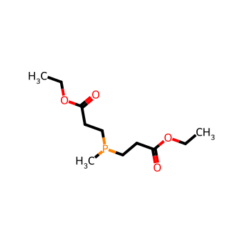 CCOC(=O)CCP(C)CCC(=O)OCC